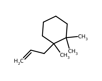 C=CCC1(C)CCCCC1(C)C